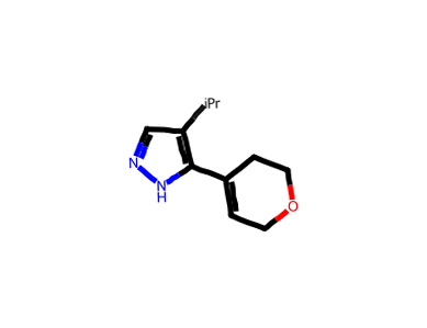 CC(C)c1cn[nH]c1C1=CCOCC1